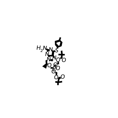 Cc1ccc(Sc2nc(N)nc3c2ncn3CC2(OCP(=O)(OCOC(=O)C(C)(C)C)OCOC(=O)C(C)(C)C)CC2)cc1